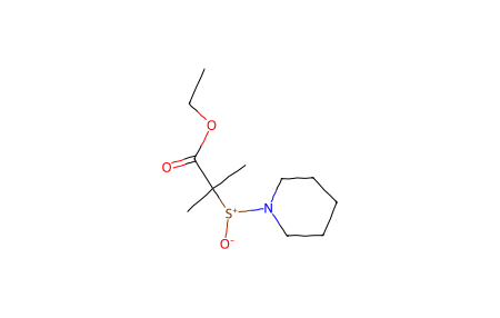 CCOC(=O)C(C)(C)[S+]([O-])N1CCCCC1